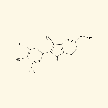 Cc1cc(-c2[nH]c3ccc(OC(C)C)cc3c2C)cc(C)c1O